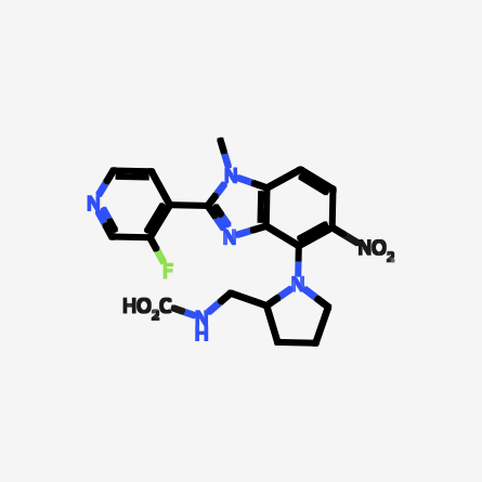 Cn1c(-c2ccncc2F)nc2c(N3CCCC3CNC(=O)O)c([N+](=O)[O-])ccc21